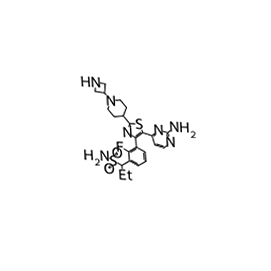 CCC(c1cccc(-c2nc(C3CCN(C4CNC4)CC3)sc2-c2ccnc(N)n2)c1F)S(N)(=O)=O